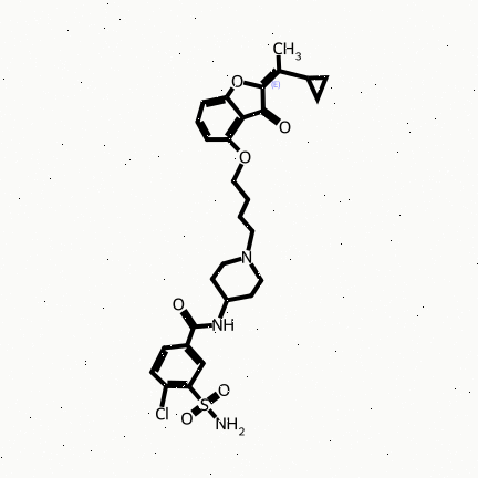 C/C(=C1\Oc2cccc(OCCCCN3CCC(NC(=O)c4ccc(Cl)c(S(N)(=O)=O)c4)CC3)c2C1=O)C1CC1